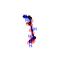 COc1cc(C(=O)N[C@@H]2CCc3ccc(-c4cn5c(n4)CCC5)cc32)cc(OCCCNC(=O)CCOCCNc2cccc3c2C(=O)N(C2CCC(=O)NC2=O)C3=O)c1C